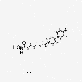 O=C(CCCCCCSc1ccc(-c2ccc(Cl)cc2)cc1)NO